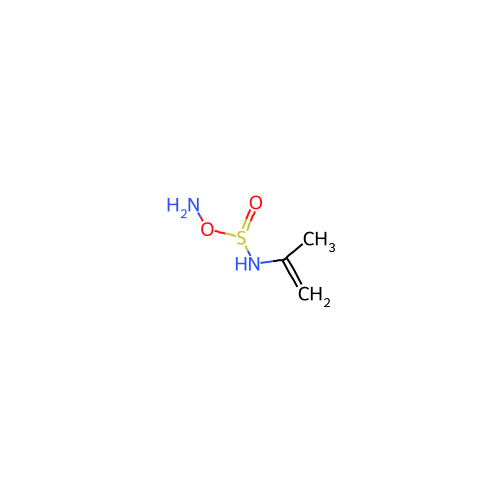 C=C(C)NS(=O)ON